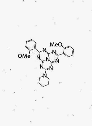 COc1ccccc1C1=NC2=NC(c3ccccc3OC)=NC3=NC(N4CCCCC4)=NC(=N1)N23